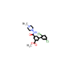 COC(=O)c1cc(C(=O)NN2CCN(C)CC2)cc(-c2cc(Cl)ccc2Cl)c1